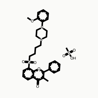 COc1ccccc1N1CCN(CCCCS(=O)(=O)c2cccc3c(=O)c(C)c(-c4ccccc4)oc23)CC1.CS(=O)(=O)O